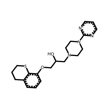 OC(COc1cccc2c1SCCC2)CN1CCN(c2ncccn2)CC1